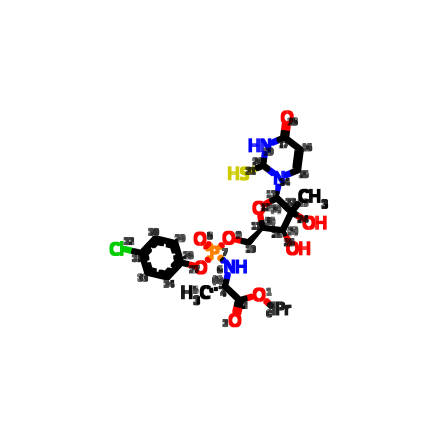 CC(C)OC(=O)[C@H](C)NP(=O)(OC[C@H]1O[C@@H](N2C=CC(=O)NC2S)C(C)(O)[C@H]1O)Oc1ccc(Cl)cc1